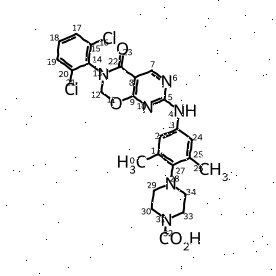 Cc1cc(Nc2ncc3c(n2)OCN(c2c(Cl)cccc2Cl)C3=O)cc(C)c1N1CCN(C(=O)O)CC1